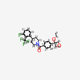 CCOC1(c2ccc(C(=O)N3CCC(c4cccc(F)c4C(F)(F)F)CC3)cc2)COC1